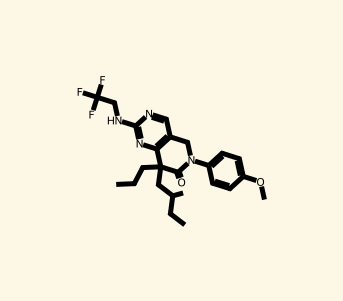 CCCC1(CC(C)CC)C(=O)N(c2ccc(OC)cc2)Cc2cnc(NCC(F)(F)F)nc21